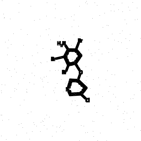 Nc1c(Br)cc(Oc2cncc(Cl)c2)c(Br)c1Br